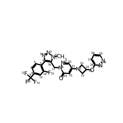 Cn1nnc(-c2ccc(C(F)(F)F)cc2F)c1Cn1ncc(N2CC(Oc3cccnn3)C2)cc1=O